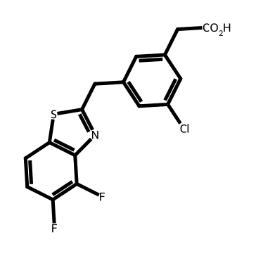 O=C(O)Cc1cc(Cl)cc(Cc2nc3c(F)c(F)ccc3s2)c1